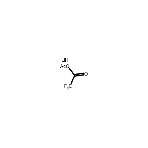 CC(=O)OC(=O)C(F)(F)F.[LiH]